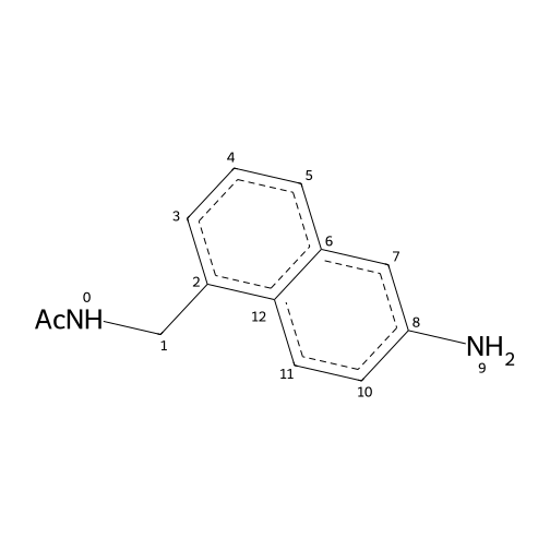 CC(=O)NCc1cccc2cc(N)ccc12